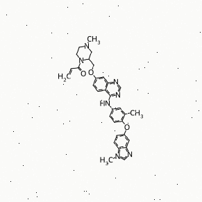 C=CC(=O)N1CCN(C)CC1COc1ccc2c(Nc3ccc(Oc4ccc5c(c4)ncn5C)c(C)c3)ncnc2c1